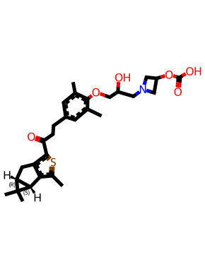 Cc1cc(CCC(=O)c2sc(C)c3c2C[C@@H]2[C@H]3C2(C)C)cc(C)c1OCC(O)CN1CC(OC(=O)O)C1